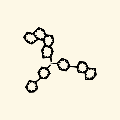 c1ccc(-c2ccc(N(c3ccc(-c4ccc5ccccc5c4)cc3)c3ccc4c(ccc5ccc6ccccc6c54)c3)cc2)cc1